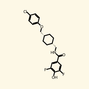 O=C(NC[C@H]1CC[C@@H](COc2ccc(Cl)cc2)CC1)c1cc(F)c(O)c(F)c1